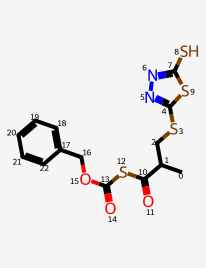 CC(CSc1nnc(S)s1)C(=O)SC(=O)OCc1ccccc1